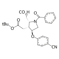 CC(C)(C)OC(=O)C[C@H]1[C@H](Oc2ccc(C#N)cc2)CN(C(=O)c2ccccc2)[C@H]1CC(=O)O